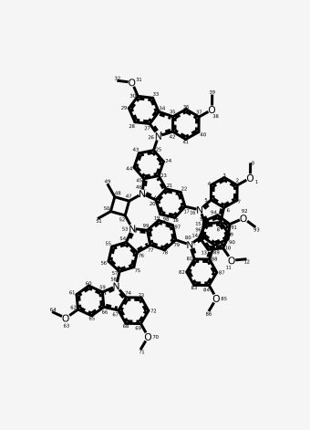 COc1ccc2c(c1)c1cc(OC)ccc1n2-c1ccc2c(c1)c1cc(-n3c4ccc(OC)cc4c4cc(OC)ccc43)ccc1n2C1C(C)C(C)C1n1c2ccc(-n3c4ccc(OC)cc4c4cc(OC)ccc43)cc2c2cc(-n3c4ccc(OC)cc4c4cc(OC)ccc43)ccc21